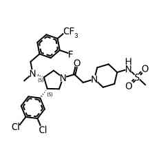 CN(Cc1ccc(C(F)(F)F)c(F)c1)[C@@H]1CN(C(=O)CN2CCC(NS(C)(=O)=O)CC2)C[C@@H]1c1ccc(Cl)c(Cl)c1